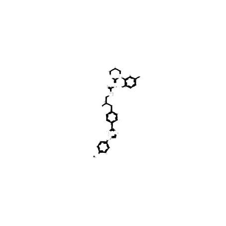 Cc1ccc(C(C)C)c(N2CCCS/C2=N\C(=O)NCC(C)Cc2ccc(-c3ncn(-c4ccc(OC(F)(F)F)cc4)n3)cc2)c1